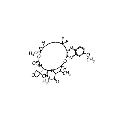 COc1ccc2nc3c(nc2c1)O[C@H]1CN(C(=O)[C@H](C2(C)COC2)NC(=O)O[C@]2(C)C[C@H]2CCCC(F)(F)C3)[C@H](C(C)=O)[C@@H]1C